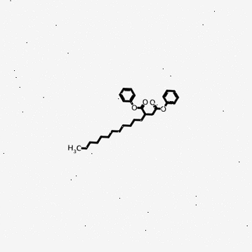 CCCCCCCCCCCCC(CC(=O)Oc1ccccc1)C(=O)Oc1ccccc1